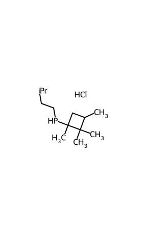 CC(C)CCPC1(C)CC(C)C1(C)C.Cl